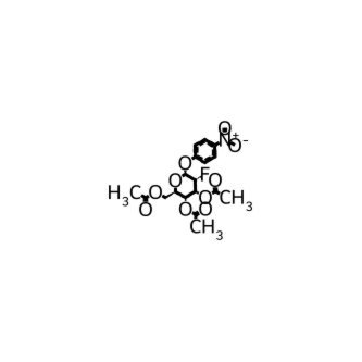 CC(=O)OC[C@H]1O[C@@H](Oc2ccc([N+](=O)[O-])cc2)[C@H](F)[C@@H](OC(C)=O)[C@@H]1OC(C)=O